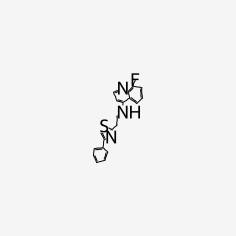 Fc1cccc2c(NCCc3nc(-c4ccccc4)cs3)ccnc12